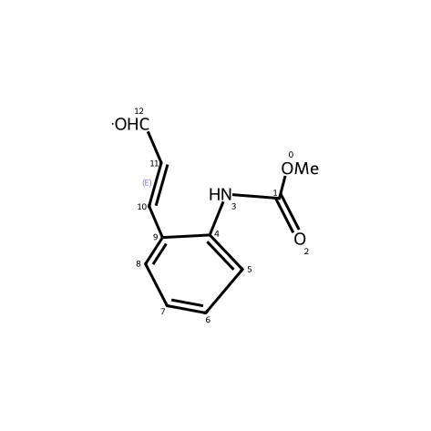 COC(=O)Nc1ccccc1/C=C/[C]=O